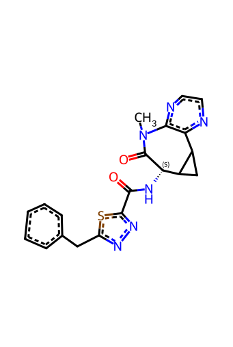 CN1C(=O)[C@@H](NC(=O)c2nnc(Cc3ccccc3)s2)C2CC2c2nccnc21